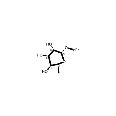 CCCO[C@@H]1O[C@@H](C)[C@@H](O)[C@@H](O)[C@@H]1O